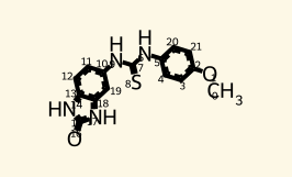 COc1ccc(NC(=S)Nc2ccc3[nH]c(=O)[nH]c3c2)cc1